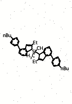 CCCCc1ccc(-c2cccc3c2C=C(CC)C3[Si](C)(C)C2C(CC)=Cc3c(-c4ccc(CCCC)cc4)cccc32)cc1